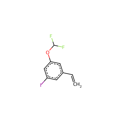 C=Cc1cc(I)cc(OC(F)F)c1